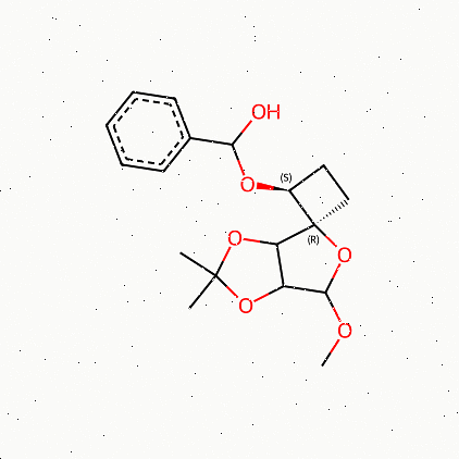 COC1O[C@@]2(CC[C@@H]2OC(O)c2ccccc2)C2OC(C)(C)OC12